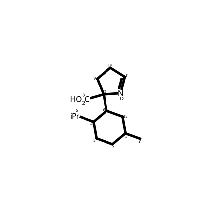 CC1CCC(C(C)C)C(C2(C(=O)O)CCC=N2)C1